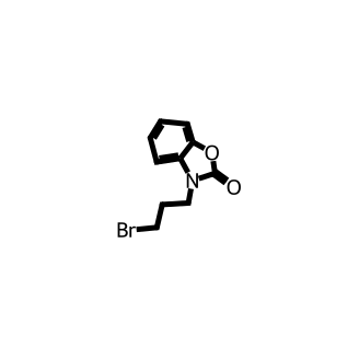 O=c1oc2ccccc2n1CCCBr